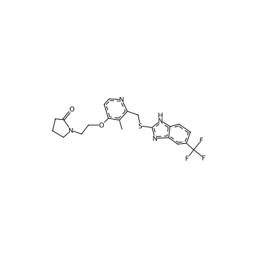 Cc1c(OCCN2CCCC2=O)ccnc1CSc1nc2cc(C(F)(F)F)ccc2[nH]1